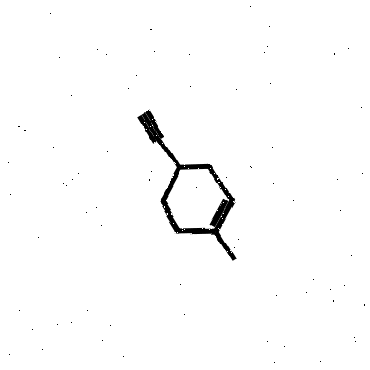 C#CC1CC=C(C)CC1